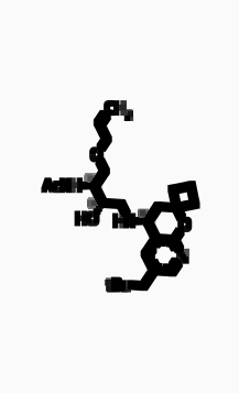 C=CCOC[C@H](NC(C)=O)[C@@H](O)CN[C@H]1CC2(CCC2)Oc2ncc(CC(C)(C)C)cc21